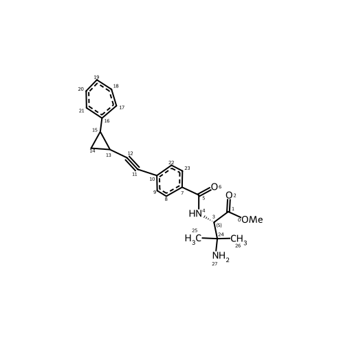 COC(=O)[C@@H](NC(=O)c1ccc(C#CC2CC2c2ccccc2)cc1)C(C)(C)N